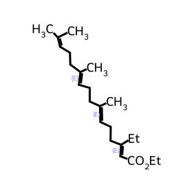 CCOC(=O)/C=C(\CC)CC/C=C(\C)CC/C=C(\C)CCC=C(C)C